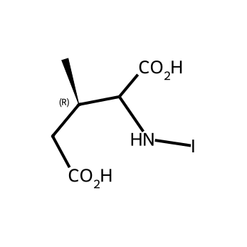 C[C@H](CC(=O)O)C(NI)C(=O)O